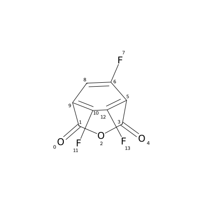 O=c1oc(=O)c2c(F)cc1c(F)c2F